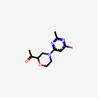 CC(=O)C1CN(c2cc(I)nc(C)n2)CCO1